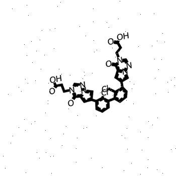 O=C(O)CCn1cnn2cc(-c3cccc(-c4cccc(-c5cc6c(=O)n(CCC(=O)O)cnn6c5)c4Cl)c3Cl)cc2c1=O